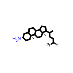 CCC(CCC(C)C1CCC2C3CC=C4C[C@@H](N)CC[C@]4(C)C3CC[C@]12C)C(C)C